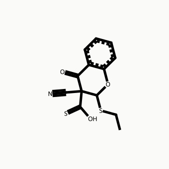 CCSC1Oc2ccccc2C(=O)C1(C#N)C(O)=S